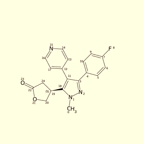 Cn1nc(-c2ccc(F)cc2)c(-c2ccncc2)c1[C@H]1COC(=O)C1